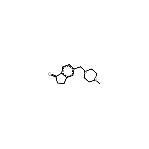 CN1CCN(Cc2ccc3c(c2)CCC3=O)CC1